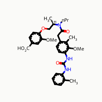 CCCN(C(=O)Cc1ccc(NC(=O)Nc2ccccc2C)c(OC)c1C)[C@H](C)COc1ccc(C(=O)O)cc1OC